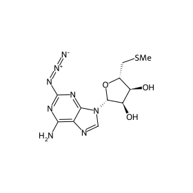 CSC[C@H]1O[C@@H](n2cnc3c(N)nc(N=[N+]=[N-])nc32)[C@H](O)[C@@H]1O